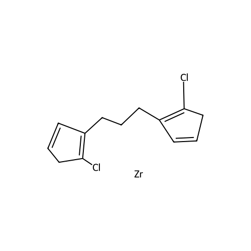 ClC1=C(CCCC2=C(Cl)CC=C2)C=CC1.[Zr]